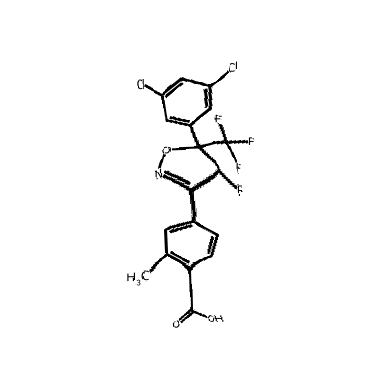 Cc1cc(C2=NOC(c3cc(Cl)cc(Cl)c3)(C(F)(F)F)C2F)ccc1C(=O)O